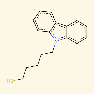 SCCCCCn1c2ccccc2c2ccccc21